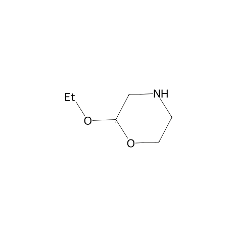 CCO[C]1CNCCO1